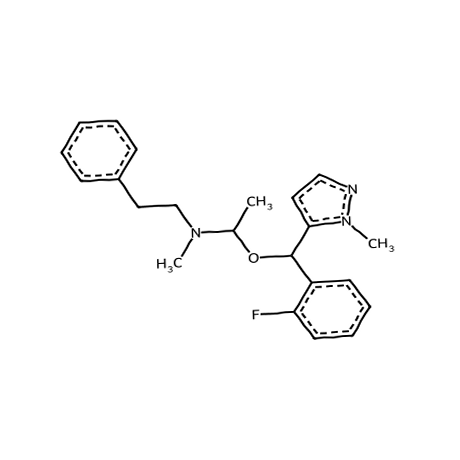 CC(OC(c1ccccc1F)c1ccnn1C)N(C)CCc1ccccc1